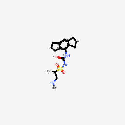 CCNCC(C)S(=O)(=O)NC(=O)Nc1c2c(cc3c1CCC3)CCC2